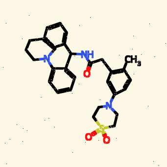 Cc1ccc(N2CCS(=O)(=O)CC2)cc1CC(=O)NC(c1ccccc1)c1ccccc1N1CCCCC1